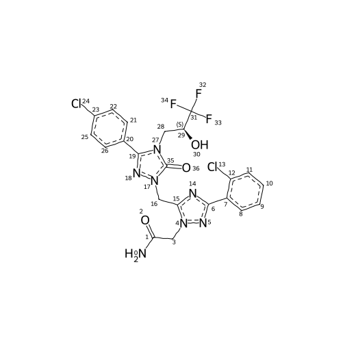 NC(=O)Cn1nc(-c2ccccc2Cl)nc1Cn1nc(-c2ccc(Cl)cc2)n(C[C@H](O)C(F)(F)F)c1=O